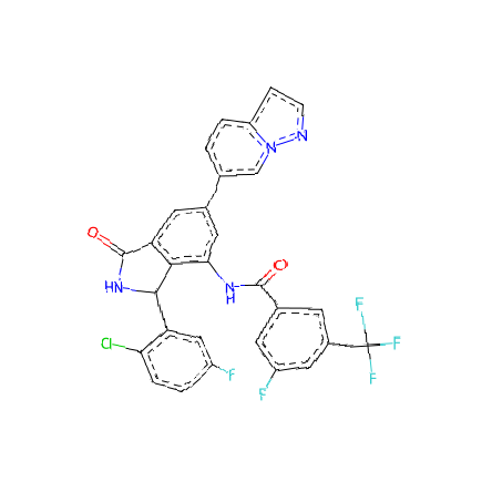 O=C(Nc1cc(-c2ccc3ccnn3c2)cc2c1C(c1cc(F)ccc1Cl)NC2=O)c1cc(F)cc(C(F)(F)F)c1